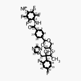 CC(SC1COC(c2ccc(C(=O)Nc3c(F)c(F)c(C#N)c(F)c3F)cc2)OC1)C(O)(Cn1cncn1)c1ccc(F)cc1F